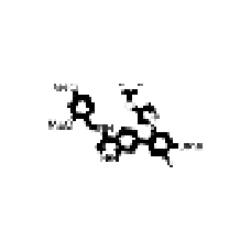 COc1ccc(CNc2cnnc3cc(-c4cc(Br)c(OC)cc4-n4cc(OC(F)F)cn4)ccc23)c(OC)c1